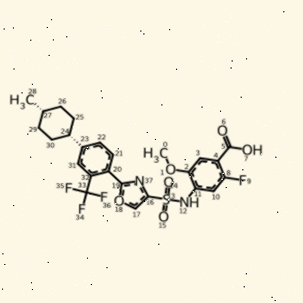 COc1cc(C(=O)O)c(F)cc1NS(=O)(=O)c1coc(-c2ccc([C@H]3CC[C@@H](C)CC3)cc2C(F)(F)F)n1